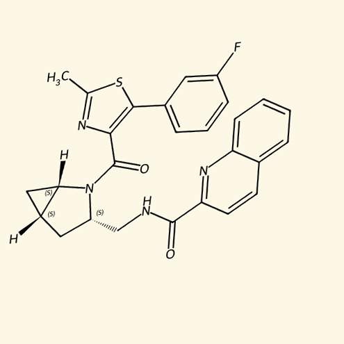 Cc1nc(C(=O)N2[C@H](CNC(=O)c3ccc4ccccc4n3)C[C@@H]3C[C@@H]32)c(-c2cccc(F)c2)s1